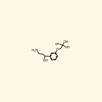 CCCC(O)(CCC)COc1cccc(C(O)CCN)c1